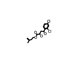 C=C(C)CCOC(=O)C(=O)CC(=O)c1ccc(Cl)cc1Cl